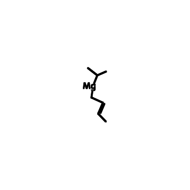 CC=C[CH2][Mg][CH](C)C